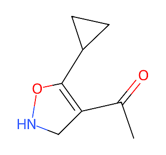 CC(=O)C1=C(C2CC2)ONC1